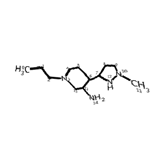 CCCN1CCC(C2CCN(C)N2)C(N)C1